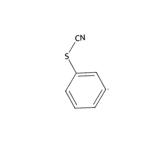 N#CSc1c[c]ccc1